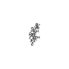 CC1=CC(=O)C=C2CC[C@@H]3[C@H](C(O)C[C@@]4(C)[C@H]3CC[C@]4(O)C(=O)COS(C)(=O)=O)[C@@]12C